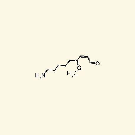 CON(/C=C\C=O)CCCCCN